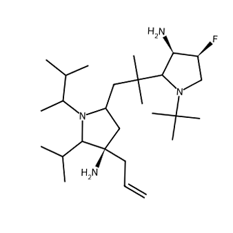 C=CC[C@@]1(N)CC(CC(C)(C)C2[C@@H](N)[C@@H](F)CN2C(C)(C)C)N(C(C)C(C)C)C1C(C)C